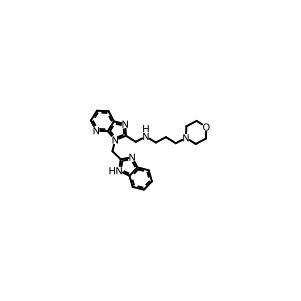 c1ccc2[nH]c(Cn3c(CNCCCN4CCOCC4)nc4cccnc43)nc2c1